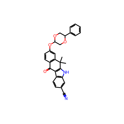 CC1(C)c2cc(OC3COC(c4ccccc4)CO3)ccc2C(=O)c2c1[nH]c1cc(C#N)ccc21